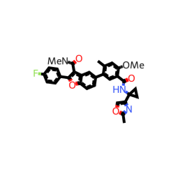 CNC(=O)c1c(-c2ccc(F)cc2)oc2ccc(-c3cc(C(=O)NC4(c5coc(C)n5)CC4)c(OC)cc3C)cc12